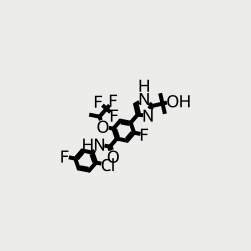 CC(Oc1cc(-c2c[nH]c(C(C)(C)O)n2)c(F)cc1C(=O)Nc1cc(F)ccc1Cl)C(F)(F)F